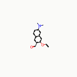 C=COc1cc2cc(N(C)C)ccc2cc1C=O